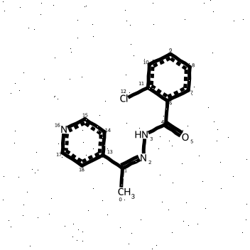 CC(=NNC(=O)c1ccccc1Cl)c1ccncc1